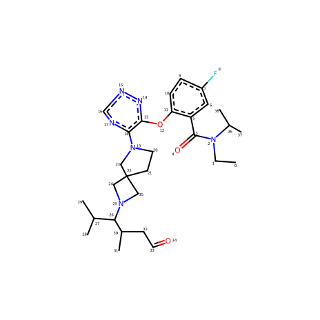 CCN(C(=O)c1cc(F)ccc1Oc1nncnc1N1CCC2(C1)CN(C(C(C)C)C(C)CC=O)C2)C(C)C